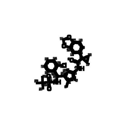 Cc1nc(NC(=O)C2(c3ccc4c(c3)OCO4)CC2)sc1[C@@H](NS(=O)(=O)C(C)(C)C)c1ccccc1Cl